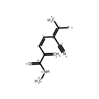 C=C(/C=C\C(C#N)=C(/C)F)C(=O)NC